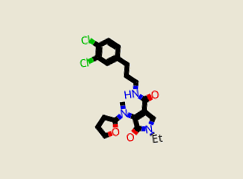 CCN1CC(C(=O)NCCCc2ccc(Cl)c(Cl)c2)=C(N(C)C2CCCO2)C1=O